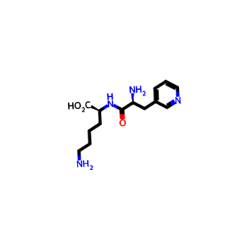 NCCCC[C@H](NC(=O)[C@@H](N)Cc1cccnc1)C(=O)O